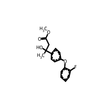 COC(=O)CC(C)(O)c1ccc(Oc2ccccc2F)cc1